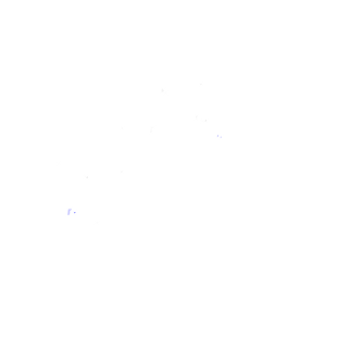 CCNC(=O)OCC(OC(=O)NCC)C(C)=O